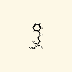 CC(=O)NS(=O)(=O)CCOc1ccccc1